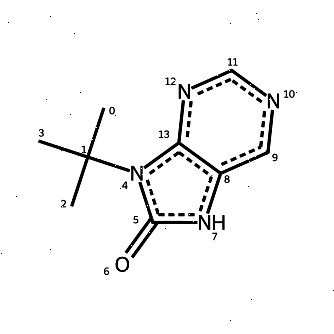 CC(C)(C)n1c(=O)[nH]c2cncnc21